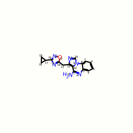 Nc1nc2ccccc2n2cnc(Cc3nc(C4CC4)no3)c12